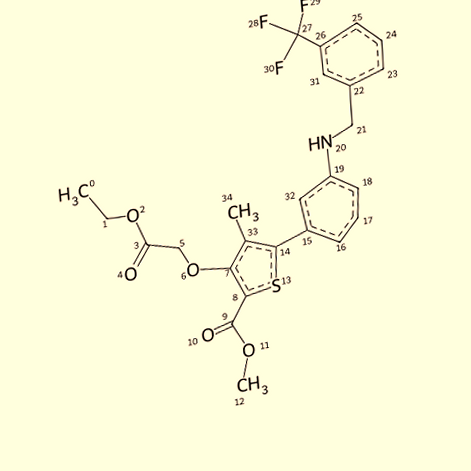 CCOC(=O)COc1c(C(=O)OC)sc(-c2cccc(NCc3cccc(C(F)(F)F)c3)c2)c1C